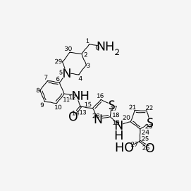 NCC1CCN(c2ccccc2NC(=O)c2csc(Nc3ccsc3C(=O)O)n2)CC1